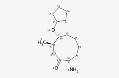 C[C@@H]1OC(=O)[C@@H](N)CCCC[C@H]1OC1CCCC1